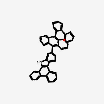 c1ccc(-c2ccccc2-c2c3ccccc3c(-c3ccc4c(c3)[nH]c3c5ccccc5c5ccccc5c43)c3ccccc23)cc1